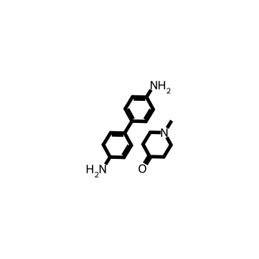 CN1CCC(=O)CC1.Nc1ccc(C2=CCC(N)C=C2)cc1